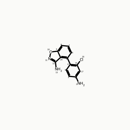 Nc1ccc(-c2cccc3onc(N)c23)c(Cl)c1